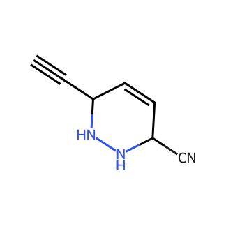 C#CC1C=CC(C#N)NN1